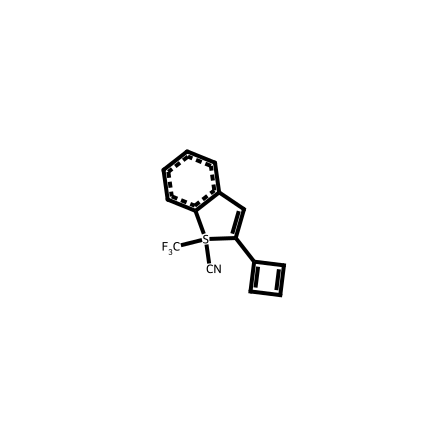 N#CS1(C(F)(F)F)C(C2=CC=C2)=Cc2ccccc21